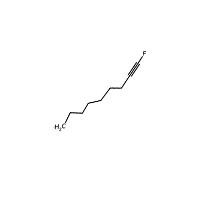 [CH2]CCCCCCC#CF